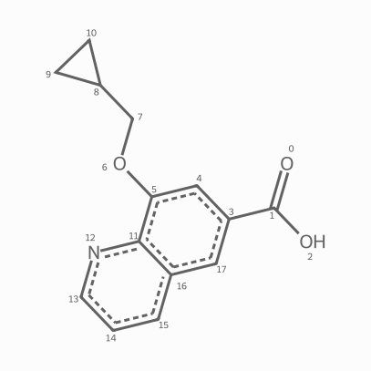 O=C(O)c1cc(OCC2CC2)c2ncccc2c1